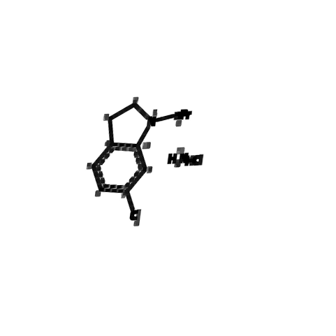 CCCN1CCc2ccc(Cl)cc21.Cl.N